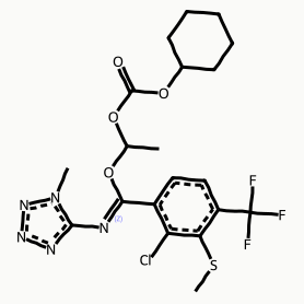 CSc1c(C(F)(F)F)ccc(/C(=N/c2nnnn2C)OC(C)OC(=O)OC2CCCCC2)c1Cl